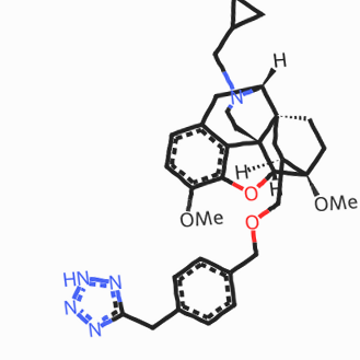 COc1ccc2c3c1O[C@H]1[C@@]4(OC)CC[C@@]5(C[C@@H]4COCc4ccc(Cc6nn[nH]n6)cc4)[C@@H](C2)N(CC2CC2)CC[C@]315